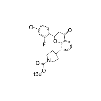 CC(C)(C)OC(=O)N1CCC(c2cccc3c2OC(c2ccc(Cl)cc2F)CC3=O)CC1